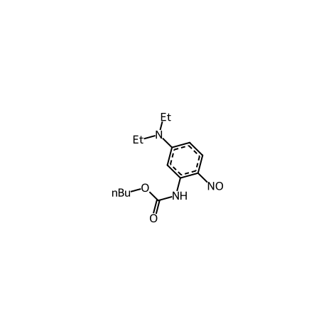 CCCCOC(=O)Nc1cc(N(CC)CC)ccc1N=O